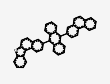 c1ccc2c(c1)ccc1cc(-c3c4ccccc4c(-c4ccc5c(ccc6oc7ccccc7c65)c4)c4ccccc34)ccc12